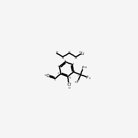 O=Cc1cccc(C(F)(F)F)c1Cl.[Li][CH2]CCC